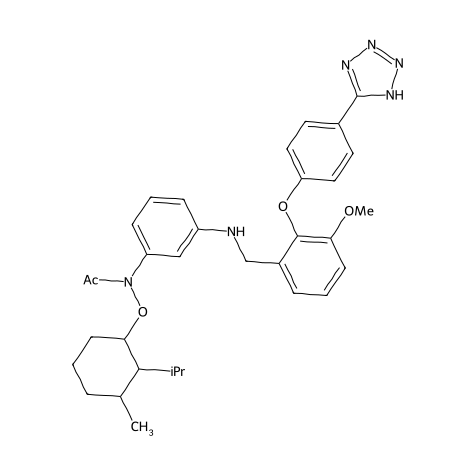 COc1cccc(CNc2cccc(N(OC3CCCC(C)C3C(C)C)C(C)=O)c2)c1Oc1ccc(-c2nnn[nH]2)cc1